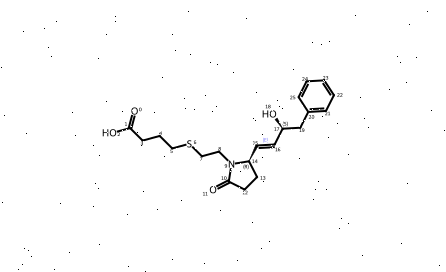 O=C(O)CCCSCCN1C(=O)CC[C@@H]1/C=C/[C@@H](O)Cc1ccccc1